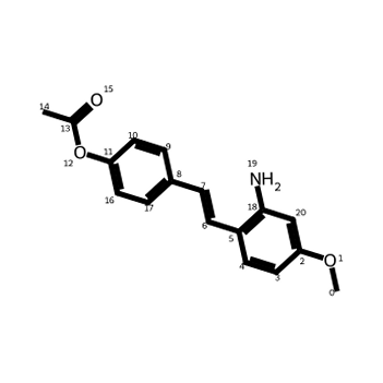 COc1ccc(C=Cc2ccc(OC(C)=O)cc2)c(N)c1